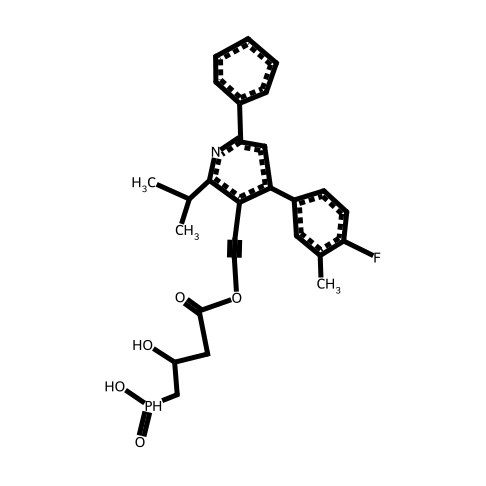 Cc1cc(-c2cc(-c3ccccc3)nc(C(C)C)c2C#COC(=O)CC(O)C[PH](=O)O)ccc1F